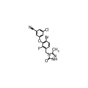 Cc1n[nH]c(=O)n1Cc1ccc(Br)c(Oc2cc(Cl)cc(C#N)c2)c1F